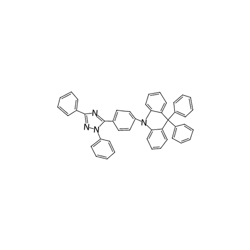 c1ccc(-c2nc(-c3ccc(N4c5ccccc5C(c5ccccc5)(c5ccccc5)c5ccccc54)cc3)n(-c3ccccc3)n2)cc1